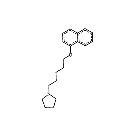 c1ccc2c(OCCCCCN3CCCC3)cccc2c1